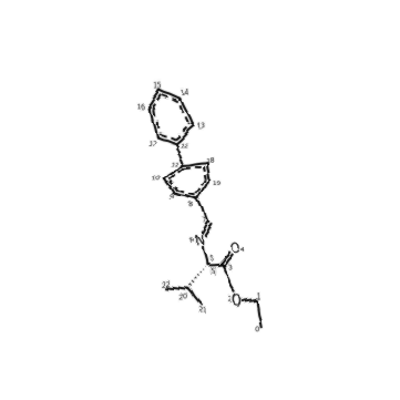 CCOC(=O)[C@@H](N=Cc1ccc(-c2ccccc2)cc1)C(C)C